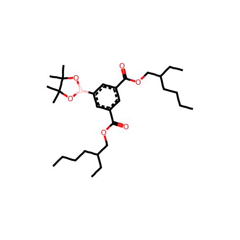 CCCCC(CC)COC(=O)c1cc(B2OC(C)(C)C(C)(C)O2)cc(C(=O)OCC(CC)CCCC)c1